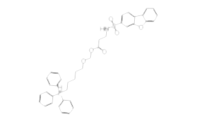 O=C(CCNS(=O)(=O)c1ccc2c(c1)oc1ccccc12)OCOCCCCC[PH](c1ccccc1)(c1ccccc1)c1ccccc1